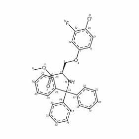 COC(=O)[C@@H](COc1ccc(Cl)c(F)c1)NC(c1ccccc1)(c1ccccc1)c1ccccc1